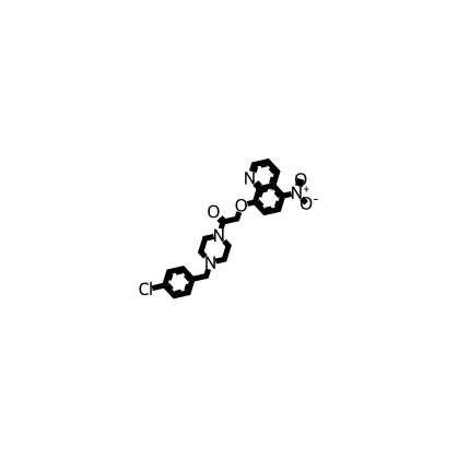 O=C(COc1ccc([N+](=O)[O-])c2cccnc12)N1CCN(Cc2ccc(Cl)cc2)CC1